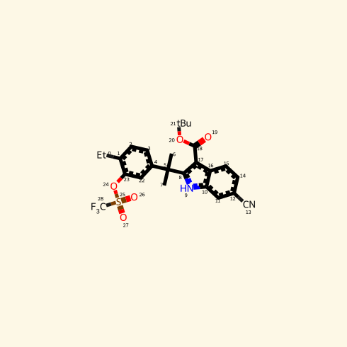 CCc1ccc(C(C)(C)c2[nH]c3cc(C#N)ccc3c2C(=O)OC(C)(C)C)cc1OS(=O)(=O)C(F)(F)F